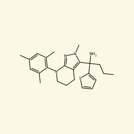 CCCC(N)(c1cccs1)c1c2c(nn1C)N(c1c(C)cc(C)cc1C)CCC2